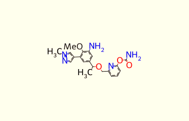 COc1c(N)cc(C(C)OCc2cccc(OC(N)=O)n2)cc1-c1cnn(C)c1